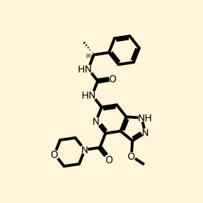 COc1n[nH]c2cc(NC(=O)N[C@H](C)c3ccccc3)nc(C(=O)N3CCOCC3)c12